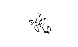 CC(C(=O)OCC1CO1)=C(F)F